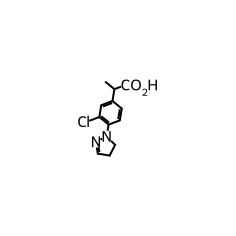 CC(C(=O)O)c1ccc(N2CCC=N2)c(Cl)c1